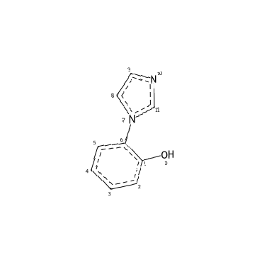 Oc1ccccc1-n1ccnc1